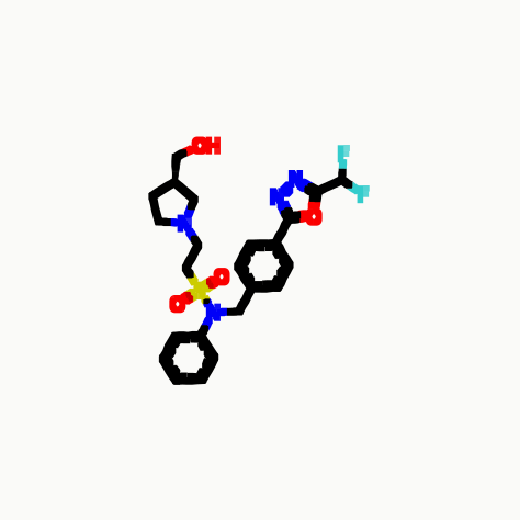 O=S(=O)(CCN1CC[C@@H](CO)C1)N(Cc1ccc(-c2nnc(C(F)F)o2)cc1)c1ccccc1